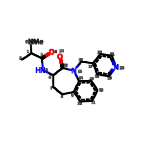 CNC(C)C(=O)NC1CCc2ccccc2N(Cc2ccncc2)C1=O